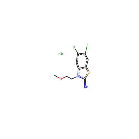 Br.COCCn1c(=N)sc2cc(F)c(F)cc21